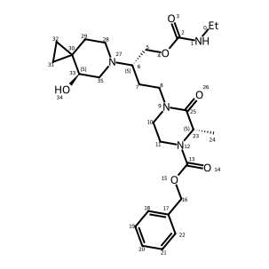 CCNC(=O)OC[C@H](CCN1CCN(C(=O)OCc2ccccc2)[C@@H](C)C1=O)N1CCC2(CC2)[C@H](O)C1